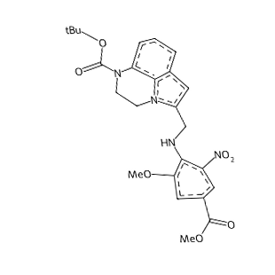 COC(=O)c1cc(OC)c(NCc2cc3cccc4c3n2CCN4C(=O)OC(C)(C)C)c([N+](=O)[O-])c1